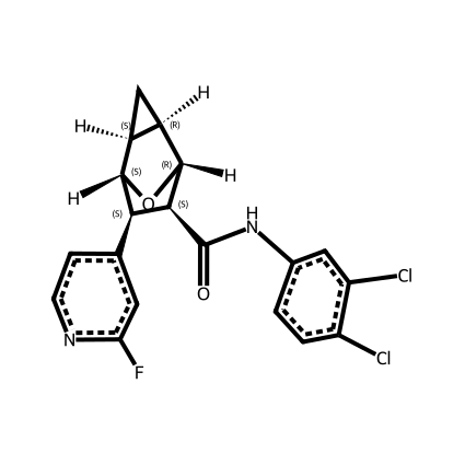 O=C(Nc1ccc(Cl)c(Cl)c1)[C@@H]1[C@@H]2O[C@@H]([C@H]3C[C@H]32)[C@@H]1c1ccnc(F)c1